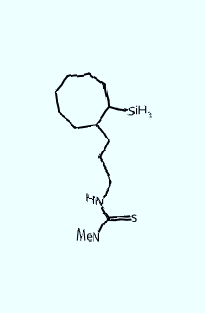 CNC(=S)NCCCC1CCCCCCC1[SiH3]